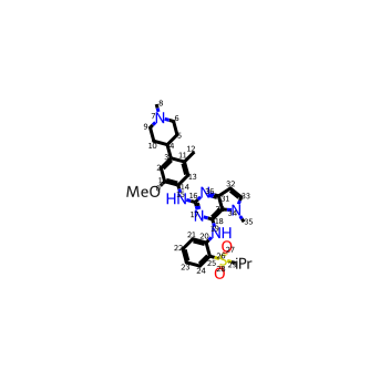 COc1cc(C2CCN(C)CC2)c(C)cc1Nc1nc(Nc2ccccc2S(=O)(=O)C(C)C)c2c(ccn2C)n1